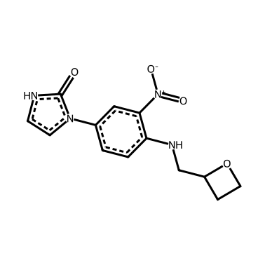 O=c1[nH]ccn1-c1ccc(NCC2CCO2)c([N+](=O)[O-])c1